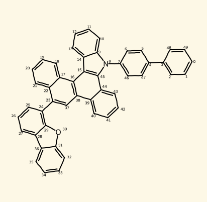 c1ccc(-c2ccc(-n3c4ccccc4c4c5c6ccccc6c(-c6cccc7c6oc6ccccc67)cc5c5ccccc5c43)cc2)cc1